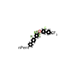 CCCCCC1CCC(c2ccc(-c3cc(F)c(C(F)(F)Oc4ccc(-c5ccc(C(F)(F)F)cc5)c(F)c4)c(F)c3)c(F)c2)CC1